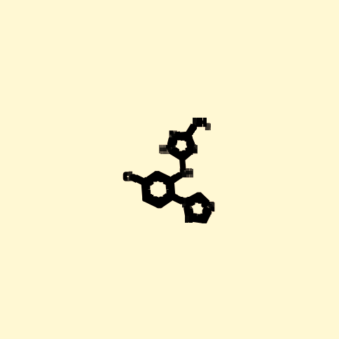 Nc1n[nH]c(Nc2cc(Cl)ccc2-n2cncn2)n1